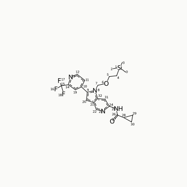 C[Si](C)(C)CCOCn1c(-c2ccnc(C(F)(F)F)c2)cc2cnc(NC(=O)C3CC3)cc21